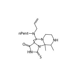 C=CCN(CCCCC)C(=S)N1CCNC(C)C1(C)N1CC(=O)NC1=S